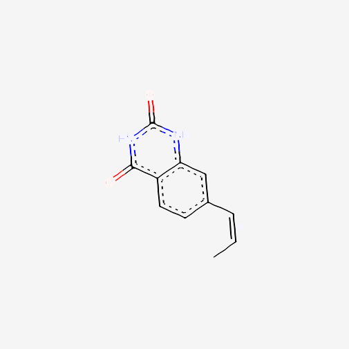 C/C=C\c1ccc2c(=O)[nH]c(=O)[nH]c2c1